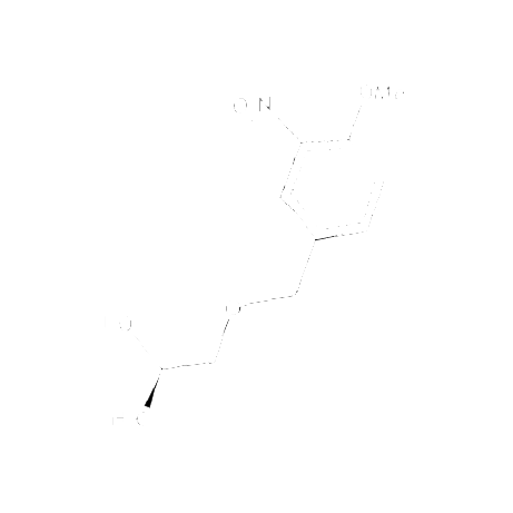 COc1ccc(COC[C@@H](C)O)cc1[N+](=O)[O-]